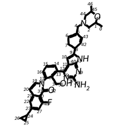 CC1CN(CC2=CCC(c3cc4c(-c5cccc(-n6ccc7cc(C8CC8)cc(F)c7c6=O)c5CO)nc(N)nc4[nH]3)C=C2)CC(C)O1